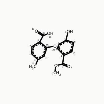 COC(=O)c1ccc(O)cc1.Cc1ccc(C(=O)O)c(O)c1